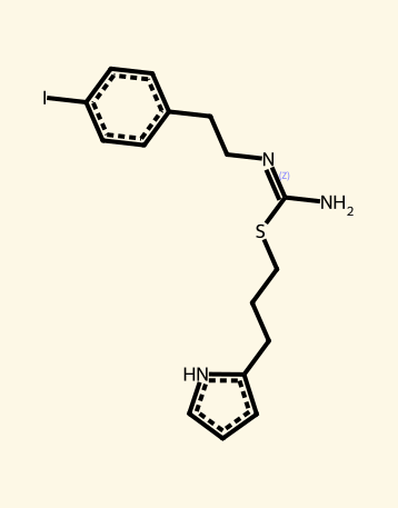 N/C(=N/CCc1ccc(I)cc1)SCCCc1ccc[nH]1